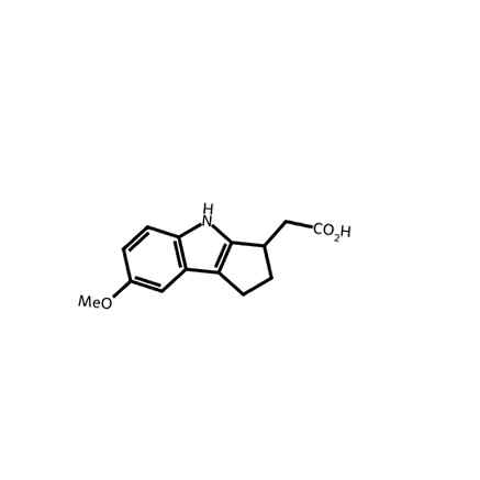 COc1ccc2[nH]c3c(c2c1)CCC3CC(=O)O